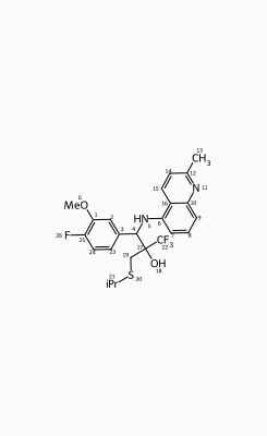 COc1cc(C(Nc2cccc3nc(C)ccc23)C(O)(CSC(C)C)C(F)(F)F)ccc1F